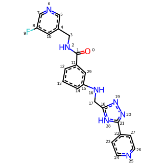 O=C(NCc1cncc(F)c1)c1cccc(NCc2nnc(-c3ccncc3)[nH]2)c1